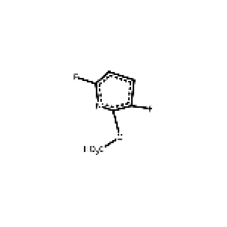 O=C(O)Oc1nc(F)ccc1F